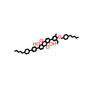 CCCCCC1CCC(COc2c(C)cc(-c3ccc4c(c3O)C(=O)c3ccc(-c5ccc(C6CCC(CCCCC)CC6)cc5)c(O)c3C4=O)cc2CC)CC1